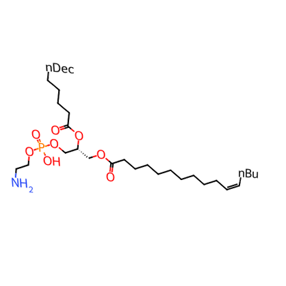 CCCC/C=C\CCCCCCCCCC(=O)OC[C@H](COP(=O)(O)OCCN)OC(=O)CCCCCCCCCCCCCC